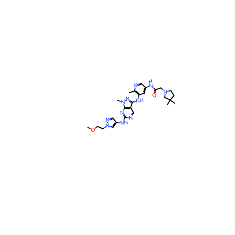 COCCn1cc(Nc2ncc3c(Nc4cc(NC(=O)CN5CCC(C)(C)C5)cnc4C)nn(C)c3n2)cn1